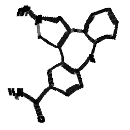 CCCN1CC2=C(C1)c1cc(C(N)=O)ccc1Sc1ccccc12